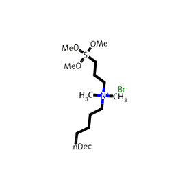 CCCCCCCCCCCCCC[N+](C)(C)CCC[Si](OC)(OC)OC.[Br-]